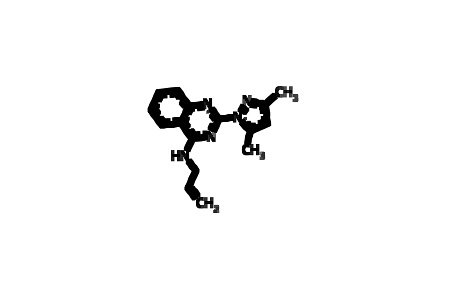 C=CCNc1nc(-n2nc(C)cc2C)nc2ccccc12